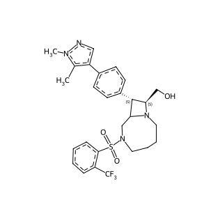 Cc1c(-c2ccc([C@H]3C4CN(S(=O)(=O)c5ccccc5C(F)(F)F)CCCCN4[C@@H]3CO)cc2)cnn1C